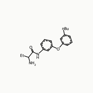 CCCCc1cccc(Oc2cccc(NC(=O)C(N)CC)c2)c1